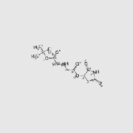 CC(C)(C)OC(=O)NNCC(=O)OC1CC(=O)NC1=O